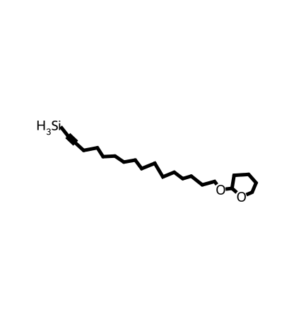 [SiH3]C#CCCCCCCCCCCCCCCOC1CCCCO1